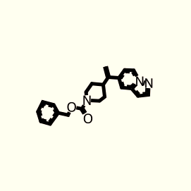 C=C(c1ccn2nccc2c1)C1CCN(C(=O)OCc2ccccc2)CC1